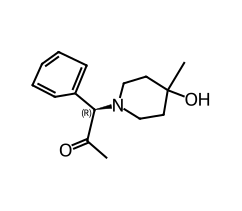 CC(=O)[C@@H](c1ccccc1)N1CCC(C)(O)CC1